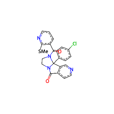 CSc1ncccc1C(=O)N1CCN2C(=O)c3ccncc3C21c1ccc(Cl)cc1